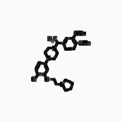 COc1ccc(C(C)N2CCN(c3ccc(Cl)c(OCCN4CCCC4)c3)CC2)cc1OC